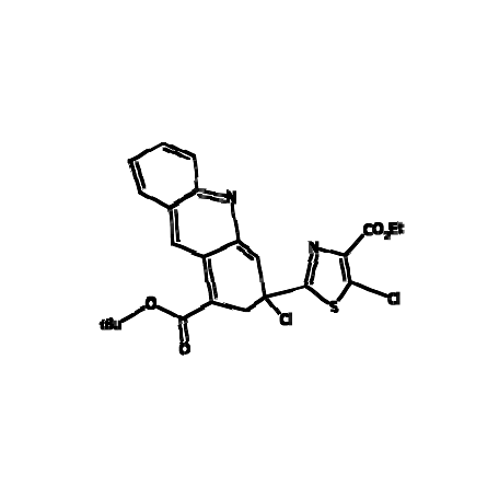 CCOC(=O)c1nc(C2(Cl)C=c3nc4ccccc4cc3=C(C(=O)OC(C)(C)C)C2)sc1Cl